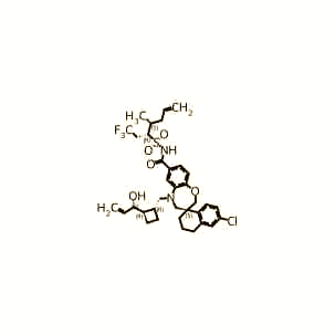 C=CC[C@H](C)[C@@H](CC(F)(F)F)S(=O)(=O)NC(=O)c1ccc2c(c1)N(C[C@@H]1CC[C@H]1[C@@H](O)C=C)C[C@@]1(CCCc3cc(Cl)ccc31)CO2